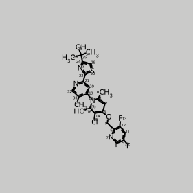 CC1=CC(OCc2ncc(F)cc2F)=C(Cl)[C@@H](O)N1c1cc(-c2nc(C(C)(C)O)cs2)ncc1C